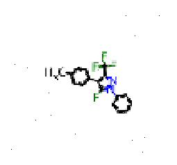 Cc1ccc(-c2c(C(F)(F)F)nn(-c3ccccc3)c2F)cc1